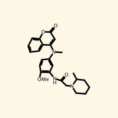 COc1ccc(N(C)c2cc(=O)oc3ccccc23)cc1NC(=O)CN1CCCCC1C